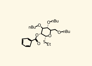 CCCCOCC1O[C@H](SCC)[C@H](OC(=O)c2ccccc2)C(OCCCC)[C@@H]1OCCCC